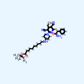 CCc1c(C#N)c(SC(C(N)=O)c2ccccc2)nc(N2CCC(NCCCCCCCCCC(=O)OC(C)(C)C)CC2)c1C#N